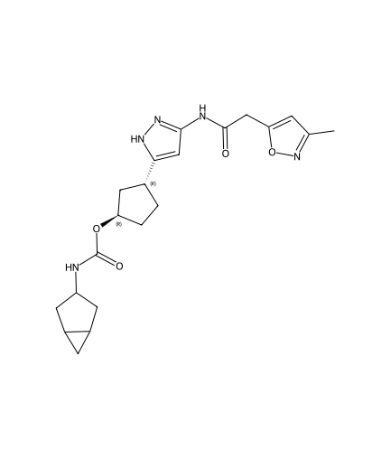 Cc1cc(CC(=O)Nc2cc([C@@H]3CC[C@@H](OC(=O)NC4CC5CC5C4)C3)[nH]n2)on1